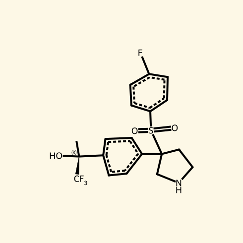 C[C@@](O)(c1ccc(C2(S(=O)(=O)c3ccc(F)cc3)CCNC2)cc1)C(F)(F)F